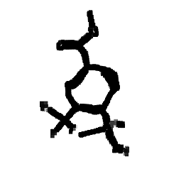 COC(=O)c1ccc([N+](C)(C)S)c(C(F)(F)F)c1